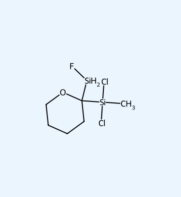 C[Si](Cl)(Cl)C1([SiH2]F)CCCCO1